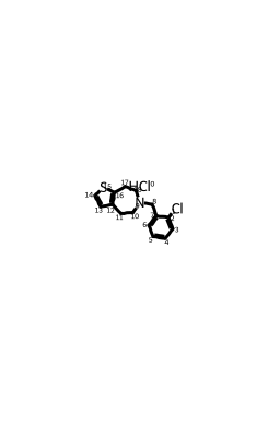 Cl.Clc1ccccc1CN1CCc2ccsc2CC1